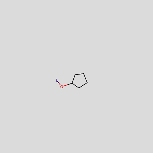 IOC1CCCC1